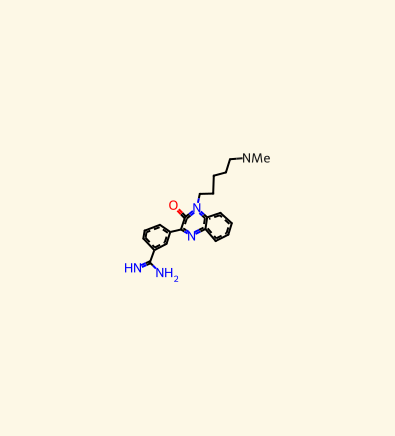 CNCCCCCn1c(=O)c(-c2cccc(C(=N)N)c2)nc2ccccc21